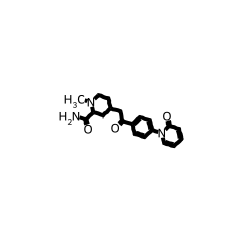 CN1CCC(CC(=O)c2ccc(-n3ccccc3=O)cc2)[CH]C1C(N)=O